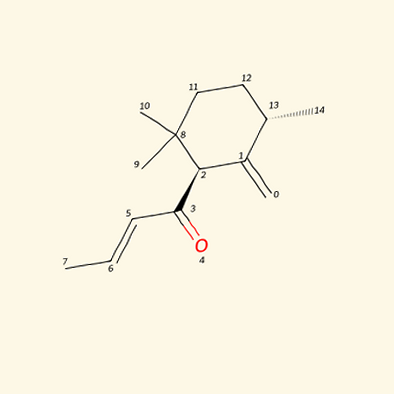 C=C1[C@@H](C(=O)C=CC)C(C)(C)CC[C@@H]1C